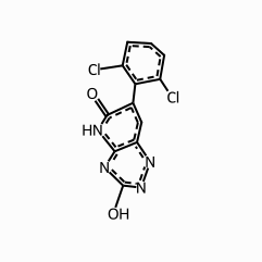 O=c1[nH]c2nc(O)nnc2cc1-c1c(Cl)cccc1Cl